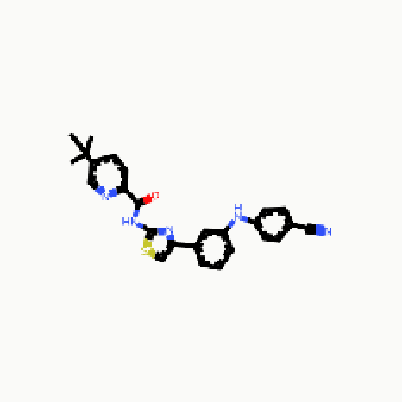 CC(C)(C)c1ccc(C(=O)Nc2nc(-c3cccc(Nc4ccc(C#N)cc4)c3)cs2)nc1